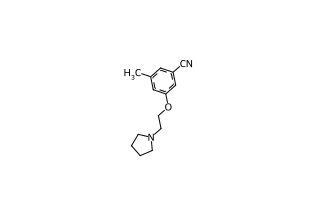 Cc1cc(C#N)cc(OCCN2CCCC2)c1